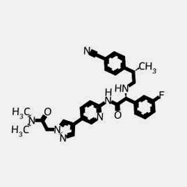 C[C@H](CN[C@@H](C(=O)Nc1ccc(-c2cnn(CC(=O)N(C)C)c2)cn1)c1cccc(F)c1)c1ccc(C#N)cc1